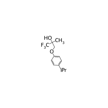 CC(C)c1ccc(OCC(C)(O)C(F)(F)F)cc1